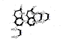 O=C(O)/C=C\C(=O)O.O=C(O)/C=C\C(=O)O.O=C(O)/C=C\C(=O)O.O=C1CCc2cccnc2N1.O=C1CCc2cccnc2N1